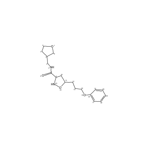 O=C(NCC1CCOC1)C1CC(CCCOc2ccccc2)ON1